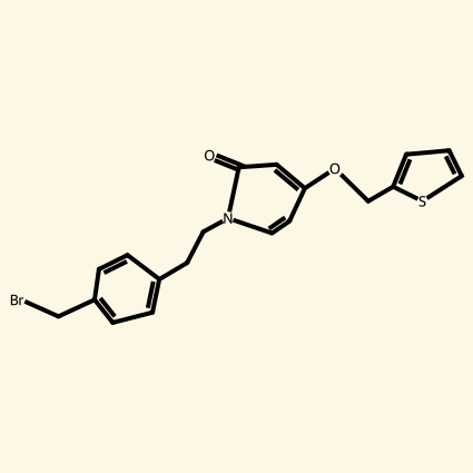 O=c1cc(OCc2cccs2)ccn1CCc1ccc(CBr)cc1